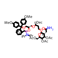 CCCCCCCCCCC(CCO[C@@H]1O[C@H](COC(C)=O)[C@H](OC(C)=O)[C@H](OC(C)=O)[C@H]1CC(N)=O)OC[C@@H](COC(c1ccccc1)(c1ccc(OC)cc1)c1ccc(OC)cc1)OP(CCC#N)N(C(C)C)C(C)C